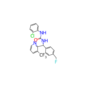 O=C(Nc1ccccc1Cl)N[C@@H](c1ccc(CF)cc1)c1ncccc1C(F)(F)F